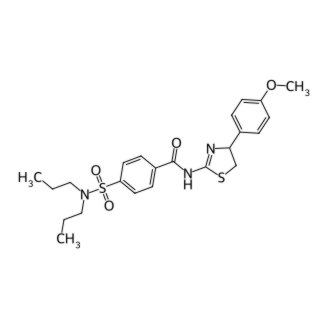 CCCN(CCC)S(=O)(=O)c1ccc(C(=O)NC2=NC(c3ccc(OC)cc3)CS2)cc1